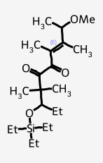 CCC(O[Si](CC)(CC)CC)C(C)(C)C(=O)C(=O)/C(C)=C(\C)C(C)OC